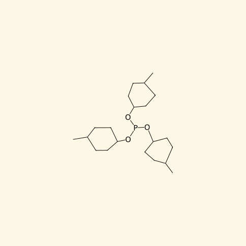 CC1CCC(OP(OC2CCC(C)CC2)OC2CCC(C)CC2)CC1